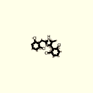 Cc1[nH]c(Cc2c(Cl)cccc2Cl)nc1-c1c(Cl)cccc1Cl